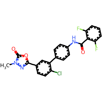 Cn1nc(-c2ccc(Cl)c(-c3ccc(NC(=O)c4c(F)cccc4F)cc3)c2)oc1=O